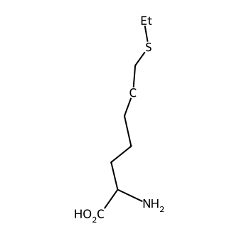 CCSCCCCCC(N)C(=O)O